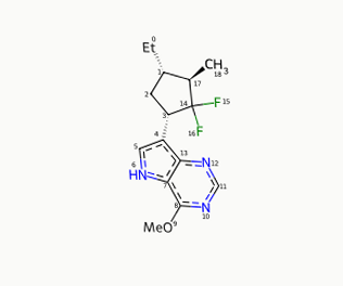 CC[C@H]1C[C@@H](c2c[nH]c3c(OC)ncnc23)C(F)(F)[C@@H]1C